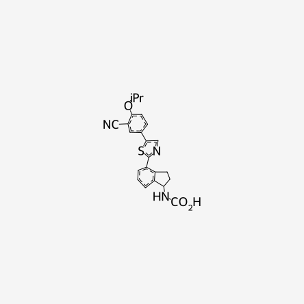 CC(C)Oc1ccc(-c2cnc(-c3cccc4c3CCC4NC(=O)O)s2)cc1C#N